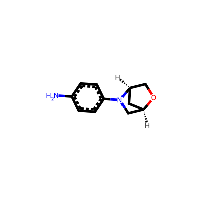 Nc1ccc(N2C[C@H]3C[C@@H]2CO3)cc1